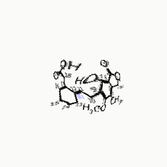 COc1c(C)c2c(c(O)c1C/C=C1\CCCCC1CC(=O)O)C(=O)OC2